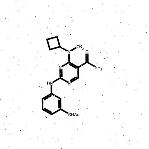 CC(=O)Nc1cccc(Nc2ncc(C(N)=O)c(N(C)C3CCC3)n2)c1